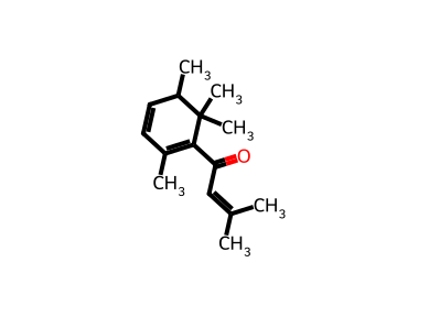 CC(C)=CC(=O)C1=C(C)C=CC(C)C1(C)C